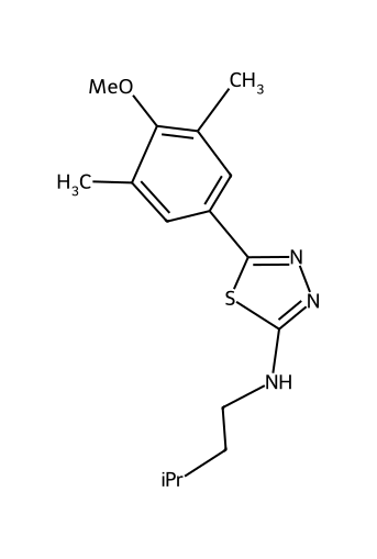 COc1c(C)cc(-c2nnc(NCCC(C)C)s2)cc1C